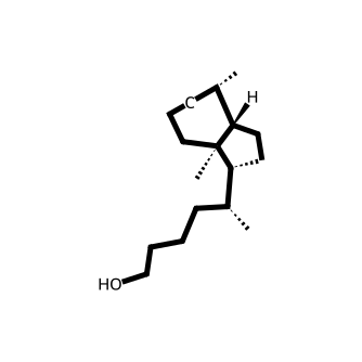 C[C@H](CCCCO)[C@H]1CC[C@H]2[C@@H](C)CCC[C@]12C